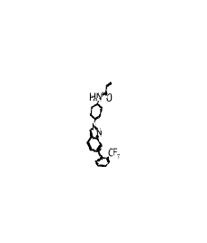 C=CC(=O)N[C@H]1CC[C@H](n2cc3ccc(-c4ccccc4C(F)(F)F)cc3n2)CC1